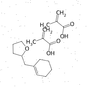 C1=C(CC2CCCO2)CCCC1.C=C(C)C(=O)O.C=C(C)C(=O)O